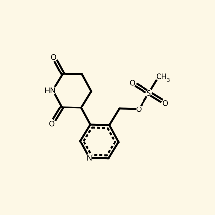 CS(=O)(=O)OCc1ccncc1C1CCC(=O)NC1=O